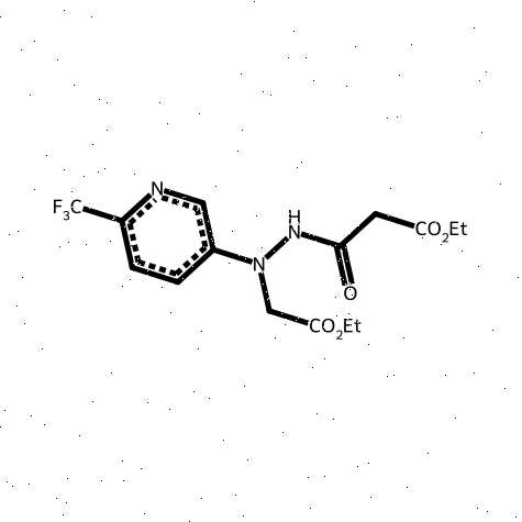 CCOC(=O)CC(=O)NN(CC(=O)OCC)c1ccc(C(F)(F)F)nc1